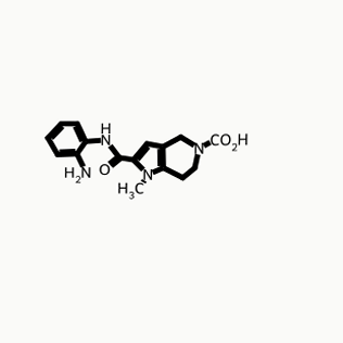 Cn1c(C(=O)Nc2ccccc2N)cc2c1CCN(C(=O)O)C2